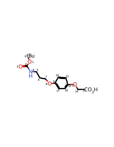 CC(C)(C)OC(=O)NCCCOc1ccc(OCC(=O)O)cc1